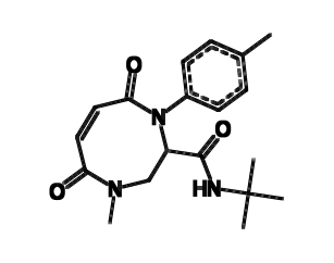 Cc1ccc(N2C(=O)/C=C\C(=O)N(C)CC2C(=O)NC(C)(C)C)cc1